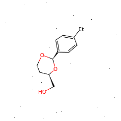 CCc1ccc([C@@H]2OCC[C@H](CO)O2)cc1